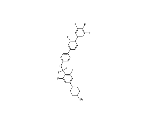 CCCC1CCC(c2cc(F)c(C(F)(F)Oc3ccc(-c4ccc(-c5cc(F)c(F)c(F)c5)c(F)c4)cc3)c(F)c2)CC1